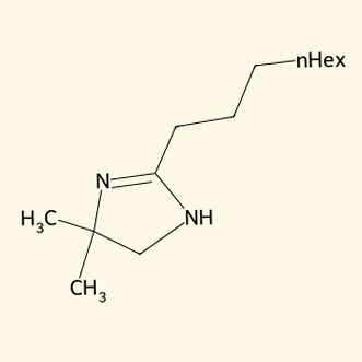 CCCCCCCCCC1=NC(C)(C)CN1